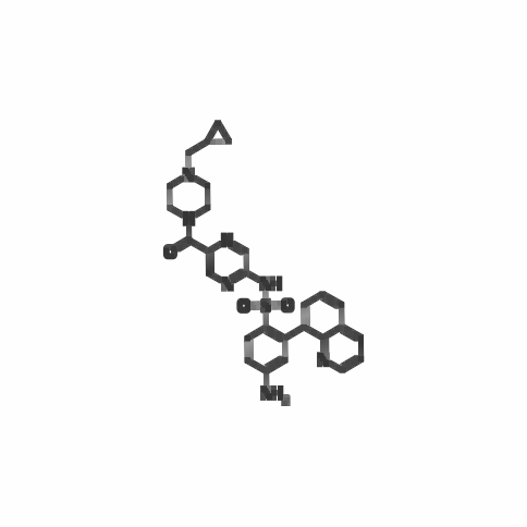 Nc1ccc(S(=O)(=O)Nc2cnc(C(=O)N3CCN(CC4CC4)CC3)cn2)c(-c2cccc3cccnc23)c1